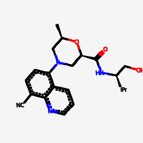 CC(C)[C@H](CO)NC(=O)[C@H]1CN(c2ccc(C#N)c3ncccc23)C[C@@H](C)O1